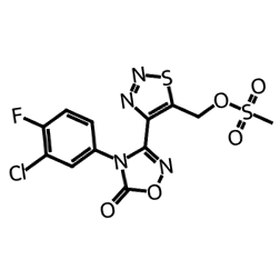 CS(=O)(=O)OCc1snnc1-c1noc(=O)n1-c1ccc(F)c(Cl)c1